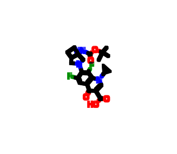 CC(C)(C)OC(=O)NC12CCC1CN(c1c(F)cc3c(=O)c(C(=O)O)cn(C4CC4)c3c1F)C2